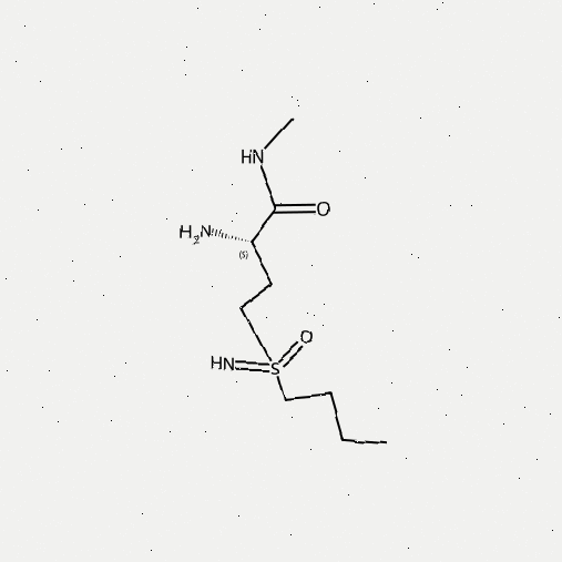 CCCCS(=N)(=O)CC[C@H](N)C(=O)NC